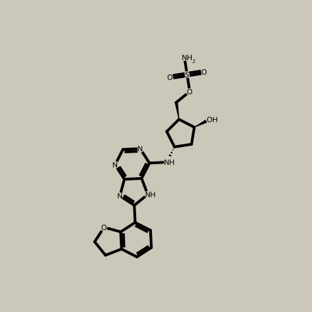 NS(=O)(=O)OC[C@@H]1C[C@@H](Nc2ncnc3nc(-c4cccc5c4OCC5)[nH]c23)C[C@@H]1O